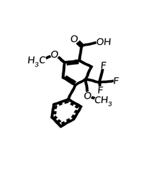 COC1=C(C(=O)O)CC(OC)(C(F)(F)F)C(c2ccccc2)=C1